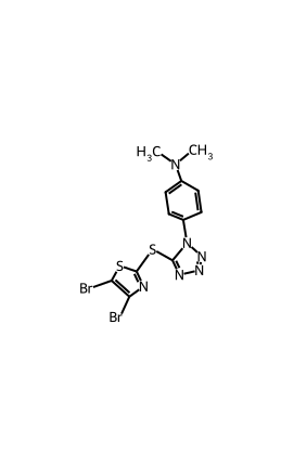 CN(C)c1ccc(-n2nnnc2Sc2nc(Br)c(Br)s2)cc1